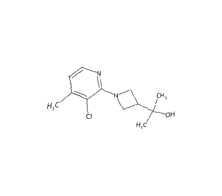 Cc1ccnc(N2CC(C(C)(C)O)C2)c1Cl